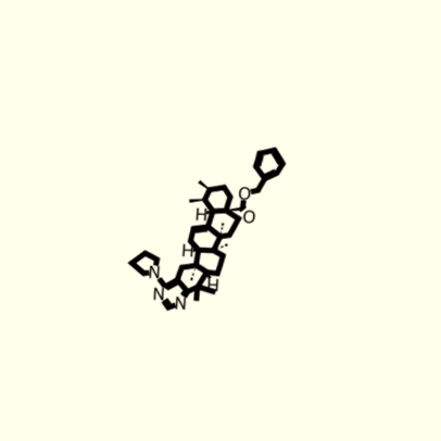 C[C@@H]1[C@H]2C3=CC[C@H]4[C@]5(C)Cc6c(N7CCCC7)ncnc6C(C)(C)[C@H]5CC[C@]4(C)[C@]3(C)CC[C@@]2(C(=O)OCc2ccccc2)CC[C@@H]1C